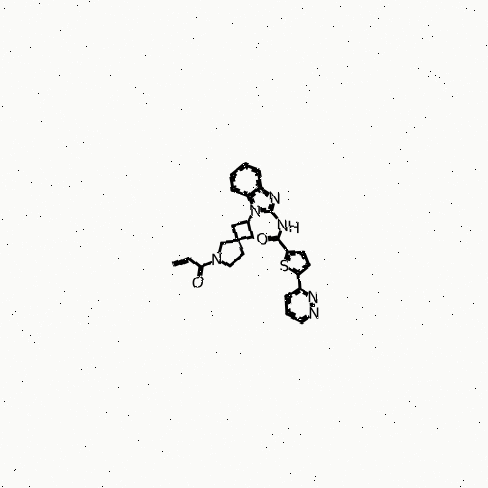 C=CC(=O)N1CC[C@]2(C1)C[C@H](n1c(NC(=O)c3ccc(-c4cccnn4)s3)nc3ccccc31)C2